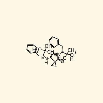 CC(C)(O)[C@@H](Cc1ccccc1)NC(=O)C1(C(=O)N[C@H](Cc2ccccc2)C(C)(C)O)CC1